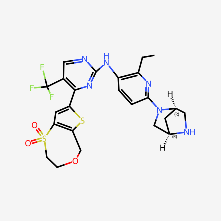 CCc1nc(N2C[C@H]3C[C@@H]2CN3)ccc1Nc1ncc(C(F)(F)F)c(-c2cc3c(s2)COCCS3(=O)=O)n1